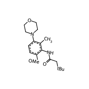 COc1ccc(N2CCOCC2)c(C)c1NC(=O)CC(C)(C)C